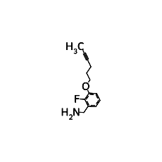 CC#CCCCOc1cccc(CN)c1F